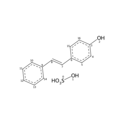 O=S(=O)(O)O.Oc1ccc(C=Cc2ccccc2)cc1